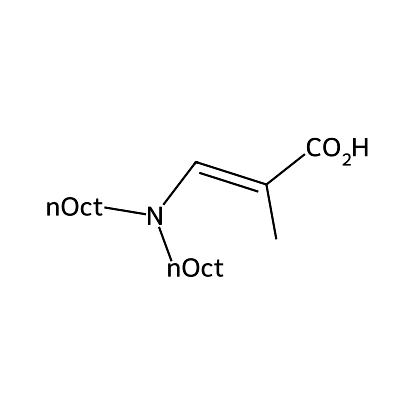 CCCCCCCCN(C=C(C)C(=O)O)CCCCCCCC